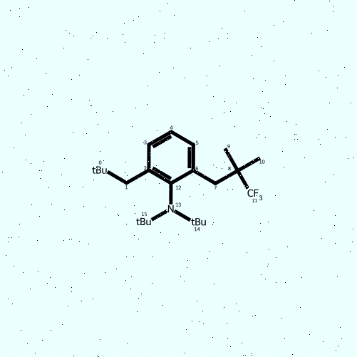 CC(C)(C)Cc1cccc(CC(C)(C)C(F)(F)F)c1N(C(C)(C)C)C(C)(C)C